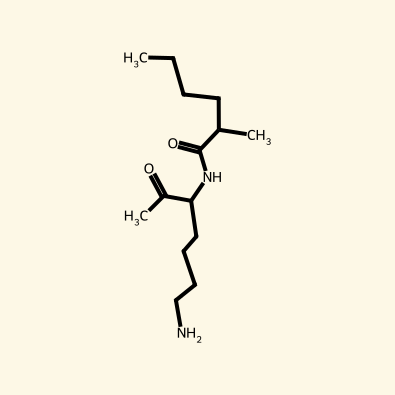 CCCCC(C)C(=O)NC(CCCCN)C(C)=O